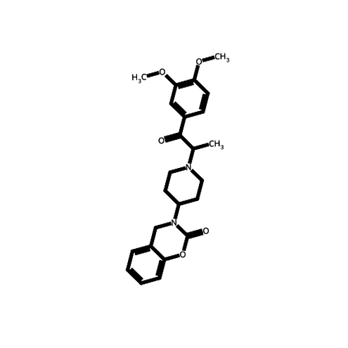 COc1ccc(C(=O)C(C)N2CCC(N3Cc4ccccc4OC3=O)CC2)cc1OC